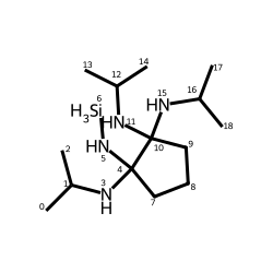 CC(C)NC1(N[SiH3])CCCC1(NC(C)C)NC(C)C